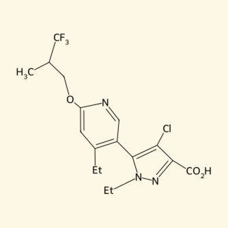 CCc1cc(OCC(C)C(F)(F)F)ncc1-c1c(Cl)c(C(=O)O)nn1CC